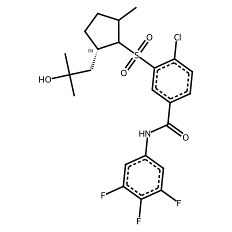 CC1CC[C@@H](CC(C)(C)O)C1S(=O)(=O)c1cc(C(=O)Nc2cc(F)c(F)c(F)c2)ccc1Cl